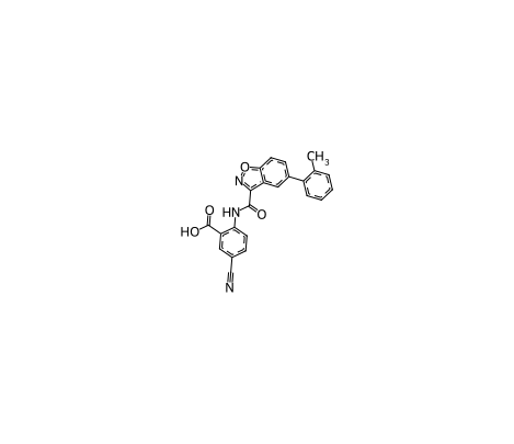 Cc1ccccc1-c1ccc2onc(C(=O)Nc3ccc(C#N)cc3C(=O)O)c2c1